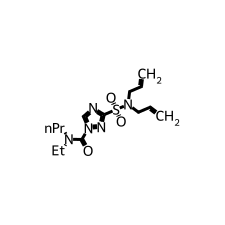 C=CCN(CC=C)S(=O)(=O)c1ncn(C(=O)N(CC)CCC)n1